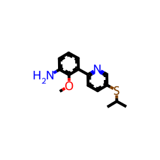 COc1c(N)cccc1-c1ccc(SC(C)C)cn1